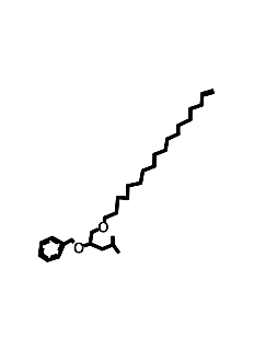 C=CCCCCCCCCCCCCCCCCOCC(CC(C)C)OCc1ccccc1